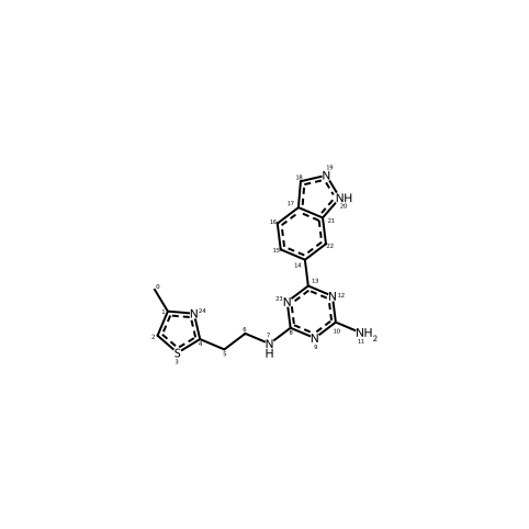 Cc1csc(CCNc2nc(N)nc(-c3ccc4cn[nH]c4c3)n2)n1